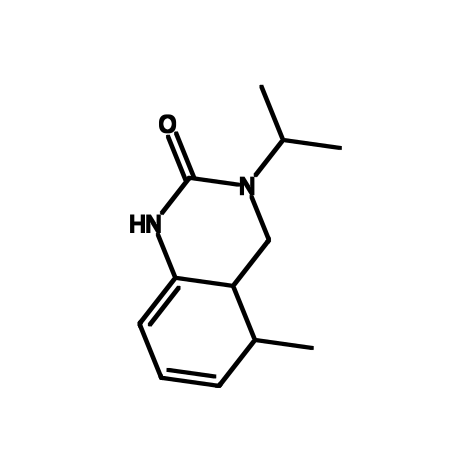 CC1C=CC=C2NC(=O)N(C(C)C)CC21